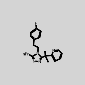 CCCc1nnc(C(C)(C)c2ccccn2)n1CCc1ccc(F)cc1